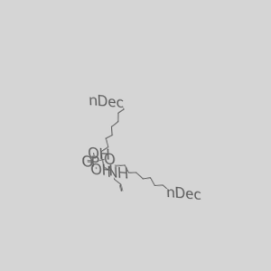 C=CCNCC(CCCCCCCCCCCCCCCCCC)(OCCCCCCCCCCCCCCCCCC)P(=O)(O)O